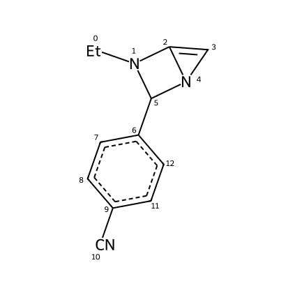 CCN1C2=CN2C1c1ccc(C#N)cc1